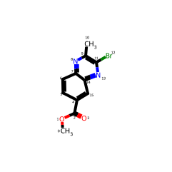 COC(=O)c1ccc2nc(C)c(Br)nc2c1